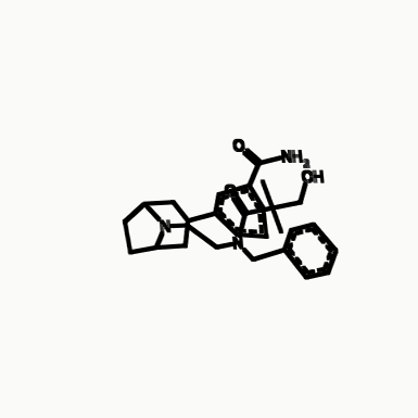 CC(C)(CO)C(=O)N(CCN1C2CCC1CC(c1cccc(C(N)=O)c1)C2)Cc1ccccc1